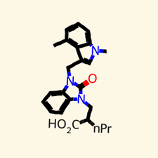 CCCC(Cn1c(=O)n(Cc2cn(C)c3cccc(C)c23)c2ccccc21)C(=O)O